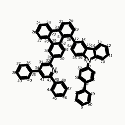 c1ccc(-c2ccc(-n3c4ccccc4c4cc(-c5cccc6c7ccccc7c7cc(-c8cc(-c9ccccc9)cc(-c9ccccc9)n8)ccc7c56)ccc43)cc2)cc1